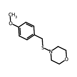 COc1ccc(CSN2CCOCC2)cc1